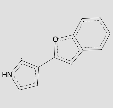 [c]1[nH]ccc1-c1cc2ccccc2o1